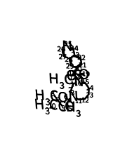 CC1CN(C(=O)OC(C)(C)C)CCCCCN1S(=O)(=O)c1ccc2cnccc2c1